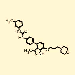 Cc1cccc(NC(=O)Nc2ccc(-c3ccc(OCCCN4CCOCC4)c4[nH]nc(C)c34)cc2)c1